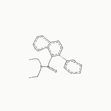 CCN(CC)C(=O)c1c(-c2ccccc2)ccc2ccccc12